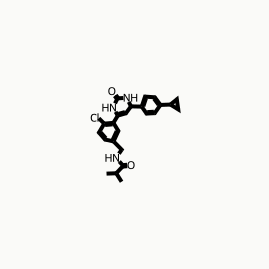 CC(C)C(=O)NCc1ccc(Cl)c(C2=CC(c3ccc(C4CC4)cc3)NC(=O)N2)c1